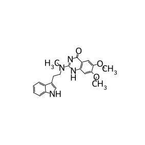 COc1cc2[nH]c(N(C)CCc3c[nH]c4ccccc34)nc(=O)c2cc1OC